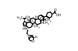 C=C(C)[C@@H]1CC[C@]2(NCCN3C[C@@H]4CC3CO4)CC[C@]3(C)[C@H](CC[C@@H]4[C@@]5(C)CC=C(C6=CCC(C(=O)O)CC6)C(C)(C)[C@@H]5CC[C@]43C)[C@@H]12